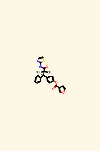 CC(C)(C(=O)Nc1nccs1)[C@H](c1ccccc1)c1ccc(OC(=O)c2ccoc2)cc1